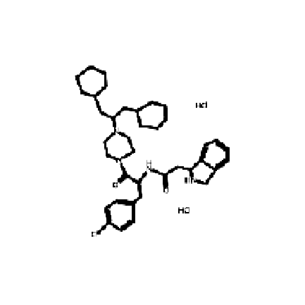 Cl.Cl.O=C(CC1NCc2ccccc21)NC(Cc1ccc(Cl)cc1)C(=O)N1CCN(C(CC2CCCCC2)CC2CCCCC2)CC1